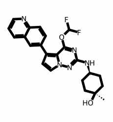 C[C@]1(O)CC[C@@H](Nc2nc(OC(F)F)c3c(-c4ccc5ncccc5c4)ccn3n2)CC1